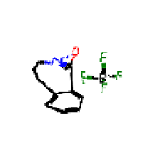 C[N+]12CCc3ccccc3C1O2.F[B-](F)(F)F